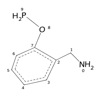 NCc1ccccc1OP